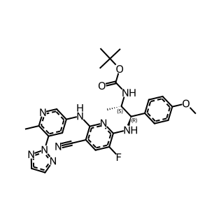 COc1ccc([C@@H](Nc2nc(Nc3cnc(C)c(-n4nccn4)c3)c(C#N)cc2F)[C@H](C)NC(=O)OC(C)(C)C)cc1